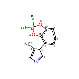 N#CC1=CN=CC1c1cccc2c1OC(F)(F)O2